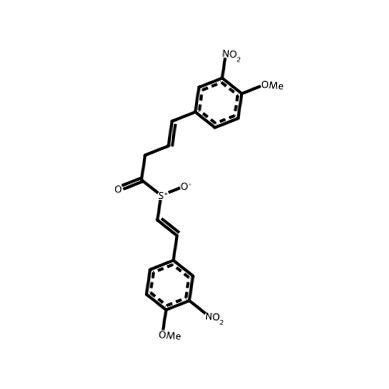 COc1ccc(/C=C/CC(=O)[S+]([O-])/C=C/c2ccc(OC)c([N+](=O)[O-])c2)cc1[N+](=O)[O-]